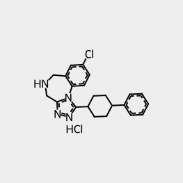 Cl.Clc1ccc2c(c1)CNCc1nnc(C3CCC(c4ccccc4)CC3)n1-2